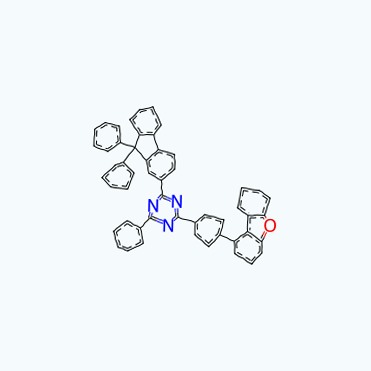 c1ccc(-c2nc(-c3ccc(-c4cccc5oc6ccccc6c45)cc3)nc(-c3ccc4c(c3)C(c3ccccc3)(c3ccccc3)c3ccccc3-4)n2)cc1